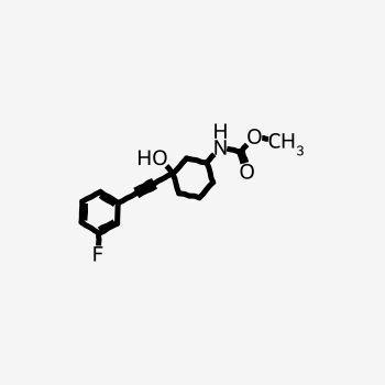 COC(=O)NC1CCCC(O)(C#Cc2cccc(F)c2)C1